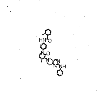 Cc1ccccc1C(=O)Nc1ccc(-n2ccc(C)c(N3CCc4nc(Nc5ccccc5)ncc4C3)c2=O)cc1